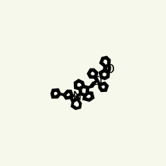 C(#C[Si](c1ccccc1)(c1ccccc1)c1ccc2oc3ccccc3c2c1)c1c2ccccc2c(-n2c3c(c4cc(-c5ccccc5)ccc42)C=CCC3)c2ccccc12